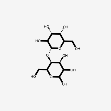 OCC1O[C@H](O[C@@H]2C(CO)OC(O)C(O)[C@@H]2O)C(O)[C@H](O)[C@@H]1O